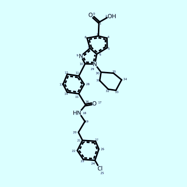 O=C(O)c1ccc2c(c1)nc(-c1cccc(C(=O)NCCc3ccc(Cl)cc3)c1)n2C1CCCCC1